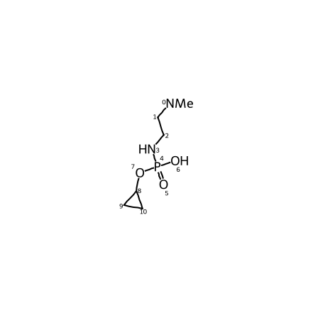 CNCCNP(=O)(O)OC1CC1